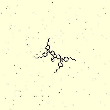 CCCCc1ccc(N(c2ccc(CCCC)cc2)c2ccc3c(c2)C(OC)c2cc(N(c4ccc(CCCC)cc4)c4ccc(CCCC)cc4)ccc2-3)cc1